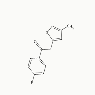 Cc1csc(CC(=O)c2ccc(F)cc2)c1